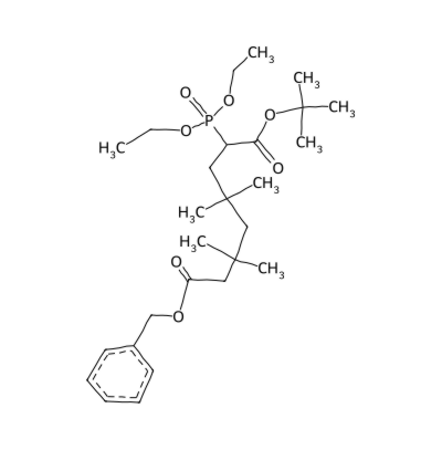 CCOP(=O)(OCC)C(CC(C)(C)CC(C)(C)CC(=O)OCc1ccccc1)C(=O)OC(C)(C)C